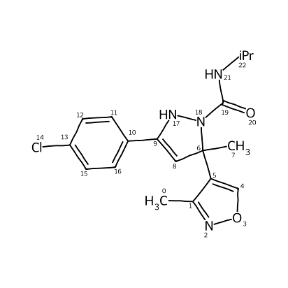 Cc1nocc1C1(C)C=C(c2ccc(Cl)cc2)NN1C(=O)NC(C)C